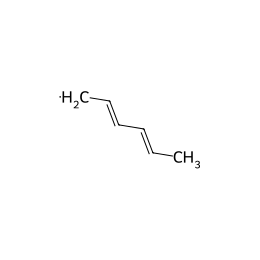 [CH2]C=CC=CC